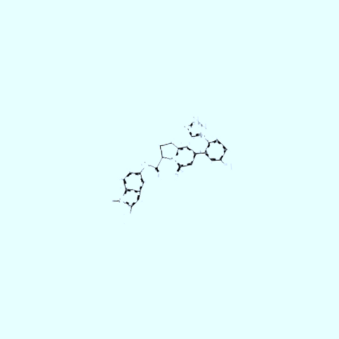 Cn1c(C(=O)O)cc2cc(NC(=O)C3CCc4cc(-c5cc(Cl)ccc5-n5cnnn5)cc(=O)n43)ccc21